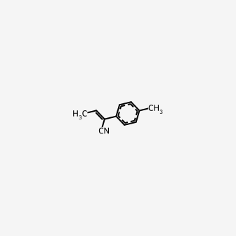 C/C=C(\C#N)c1ccc(C)cc1